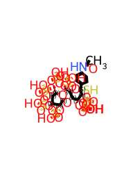 CC(=O)Nc1ccc([C@@]2(S)O[C@H](COS(=O)(=O)O)[C@@H](O[C@H]3O[C@H](COS(=O)(=O)O)[C@@H](OS(=O)(=O)O)[C@H](OS(=O)(=O)O)[C@H]3OS(=O)(=O)O)[C@H](OS(=O)(=O)O)[C@H]2OS(=O)(=O)O)cc1